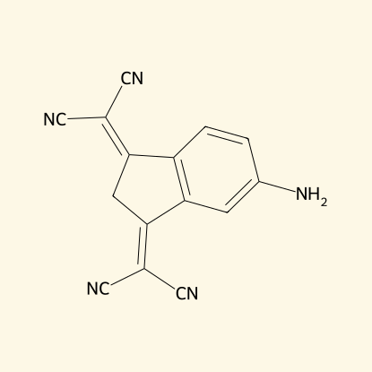 N#CC(C#N)=C1CC(=C(C#N)C#N)c2cc(N)ccc21